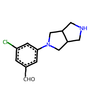 O=Cc1cc(Cl)cc(N2CC3CNCC3C2)c1